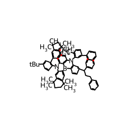 Cc1cc2c3c(c1)N(c1ccc(C(C)(C)C)cc1-c1ccc4c(c1)C(C)(C)CC4(C)C)c1cc4c(cc1B3c1ccc(C(CCc3ccccc3)c3ccccc3)cc1N2c1cc(-c2ccccc2)ccc1C)C(C)(C)CCC4(C)C